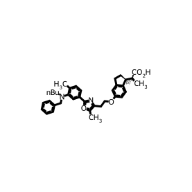 CCCCN(Cc1ccccc1)c1cc(-c2nc(CCOc3ccc4c(c3)CC[C@H]4[C@H](C)C(=O)O)c(C)o2)ccc1C